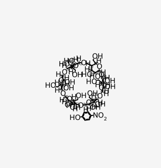 O=[N+]([O-])c1ccc(O)cc1.OC[C@H]1O[C@@H]2O[C@H]3[C@H](O)[C@@H](O)[C@@H](O[C@H]4[C@H](O)[C@@H](O)[C@@H](O[C@H]5[C@H](O)[C@@H](O)[C@@H](O[C@H]6[C@H](O)[C@@H](O)[C@@H](O[C@H]7[C@H](O)[C@@H](O)[C@@H](O[C@H]1[C@H](O)[C@H]2O)O[C@@H]7CO)O[C@@H]6CO)O[C@@H]5CO)O[C@@H]4CO)O[C@@H]3CO